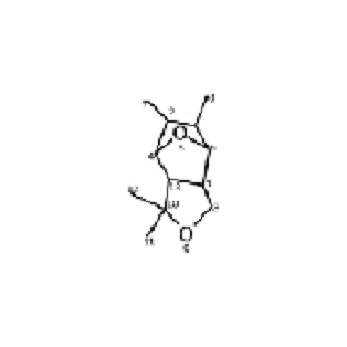 CC1C(C)C2OC1C1COC(C)(C)C12